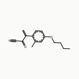 C=C(C(=O)C#N)c1ccc(OCCCC)cc1C